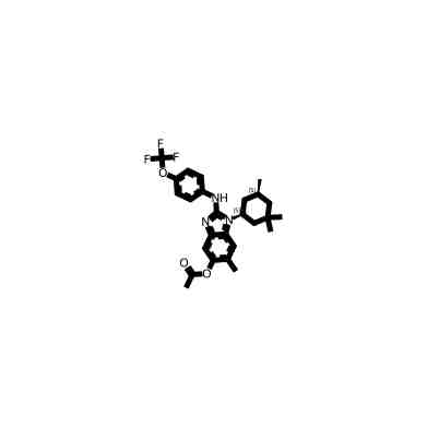 CC(=O)Oc1cc2nc(Nc3ccc(OC(F)(F)F)cc3)n([C@H]3C[C@@H](C)CC(C)(C)C3)c2cc1C